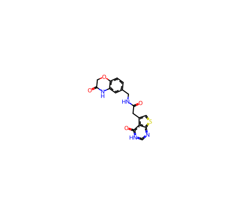 O=C(Cc1csc2nc[nH]c(=O)c12)NCc1ccc2c(c1)NC(=O)CO2